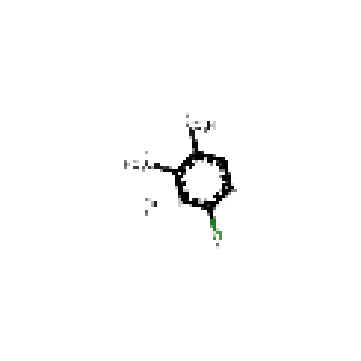 O=C(O)c1ccc(Cl)cc1C(=O)O.[Cu]